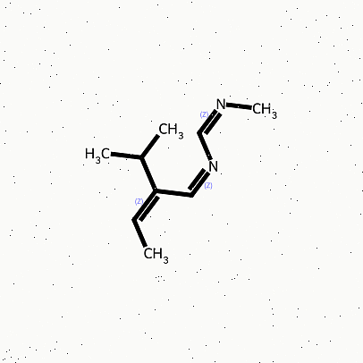 C\C=C(/C=N\C=N/C)C(C)C